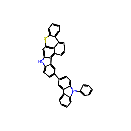 c1ccc(-n2c3ccccc3c3cc(-c4ccc5[nH]c6cc7c8c(cccc8c6c5c4)-c4ccccc4S7)ccc32)cc1